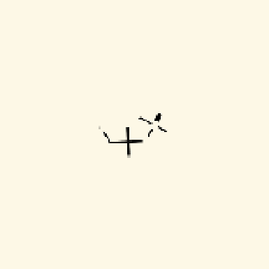 FC(F)(CBr)OP(=S)(Cl)Cl